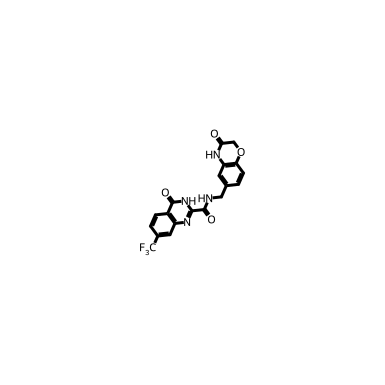 O=C1COc2ccc(CNC(=O)c3nc4cc(C(F)(F)F)ccc4c(=O)[nH]3)cc2N1